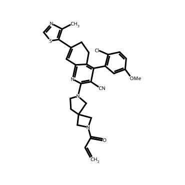 C=CC(=O)N1CC2(CCN(c3nc4c(c(-c5cc(OC)ccc5Cl)c3C#N)CCC(c3scnc3C)=C4)C2)C1